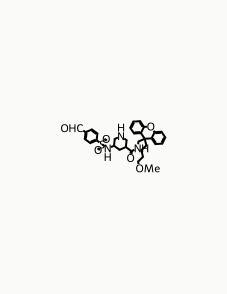 COCCCCC1(CNC(=O)C2CNCC(NS(=O)(=O)c3ccc(C=O)cc3)C2)c2ccccc2Oc2ccccc21